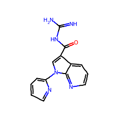 N=C(N)NC(=O)c1cn(-c2ccccn2)c2ncccc12